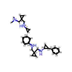 CN(C)CC1(CNC2C[C@@H]2c2cccc(NCC3(CN[C@H]4CC4c4ccccc4)CC3)c2)CC1